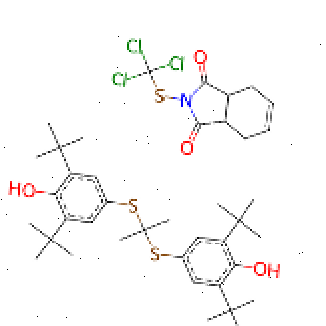 CC(C)(Sc1cc(C(C)(C)C)c(O)c(C(C)(C)C)c1)Sc1cc(C(C)(C)C)c(O)c(C(C)(C)C)c1.O=C1C2CC=CCC2C(=O)N1SC(Cl)(Cl)Cl